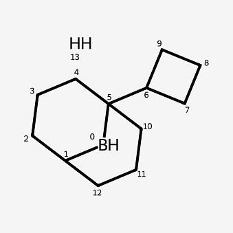 B1C2CCCC1(C1CCC1)CCC2.[HH]